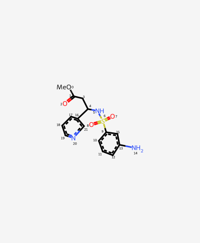 COC(=O)CC(NS(=O)(=O)c1cccc(N)c1)c1cccnc1